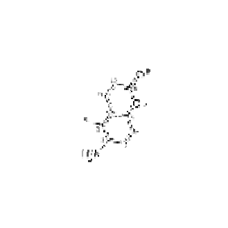 Cc1c(N)ccc2oc(=O)ccc12